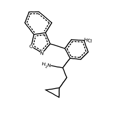 Cl.NC(CC1CC1)c1ccccc1-c1noc2ccccc12